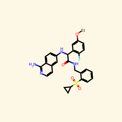 CCOc1ccc(F)c(C(Nc2ccc3c(N)nccc3c2)C(=O)NCc2ccccc2S(=O)(=O)C2CC2)c1